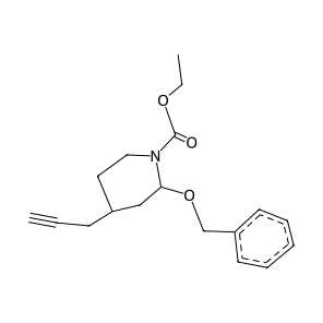 C#CCC1CCN(C(=O)OCC)C(OCc2ccccc2)C1